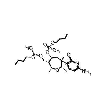 CCCCOP(O)OC[C@H]1[C@@H](C)O[C@@H](C)[C@@](C)(n2ccc(N)nc2=O)C[C@H]1OP(=O)(O)OCCCC